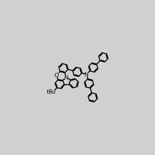 CC(C)(C)c1cc2c3c(c1)c1ccccc1n3-c1c(cccc1-c1ccc(N(c3ccc(-c4ccccc4)cc3)c3ccc(-c4ccccc4)cc3)cc1)O2